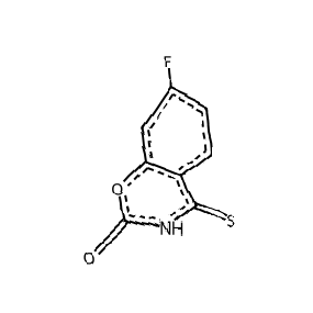 O=c1[nH]c(=S)c2ccc(F)cc2o1